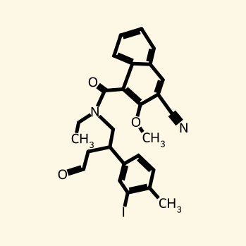 CCN(CC(CC=O)c1ccc(C)c(I)c1)C(=O)c1c(OC)c(C#N)cc2ccccc12